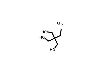 C.CCC(CO)(CO)CO